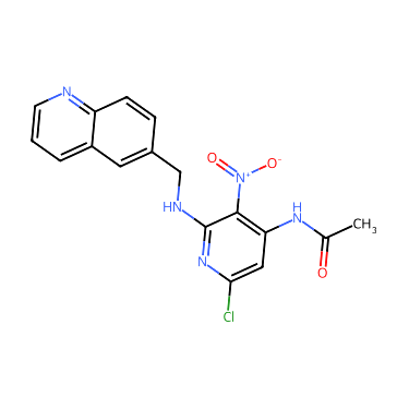 CC(=O)Nc1cc(Cl)nc(NCc2ccc3ncccc3c2)c1[N+](=O)[O-]